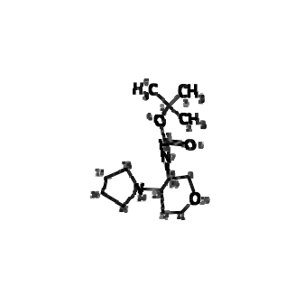 CC(C)(C)OC(=O)N[C@H]1COCCC1N1CCCC1